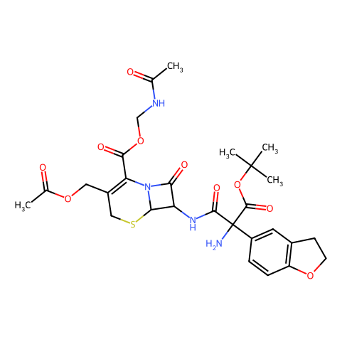 CC(=O)NCOC(=O)C1=C(COC(C)=O)CSC2C(NC(=O)C(N)(C(=O)OC(C)(C)C)c3ccc4c(c3)CCO4)C(=O)N12